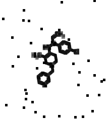 C=CN(NC1=C(C)CN(Cc2cccnc2)CC1)c1ccc(Cl)cc1